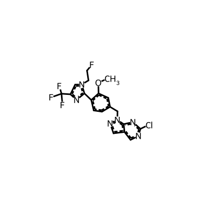 COc1cc(Cn2ncc3cnc(Cl)nc32)ccc1-c1nc(C(F)(F)F)cn1CCF